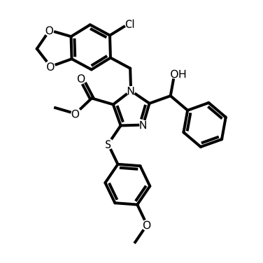 COC(=O)c1c(Sc2ccc(OC)cc2)nc(C(O)c2ccccc2)n1Cc1cc2c(cc1Cl)OCO2